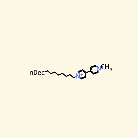 CCCCCCCCCCCCCCCCCC[n+]1ccc(-c2cc[n+](C)cc2)cc1